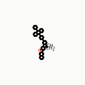 CC1(C)c2ccc(-c3ccc(-c4c5ccccc5c(-c5ccccc5)c5ccccc45)cc3)cc2-c2cc3oc4cc5ccccc5cc4c3cc21